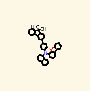 CC1(C)c2ccccc2-c2cc(-c3ccc(N(c4cccc5ccccc45)c4cccc5c4oc4ccccc45)cc3)ccc21